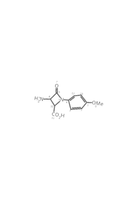 COc1ccc(N2C(=O)C(N)C2C(=O)O)cc1